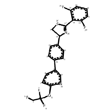 FCC(F)(F)Oc1ccc(-c2ccc(C3CSC(c4c(F)cccc4F)=N3)cc2)cn1